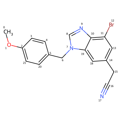 COc1ccc(Cn2cnc3c(Br)cc(CC#N)cc32)cc1